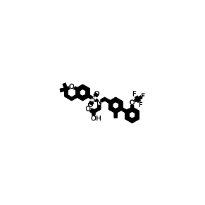 Cc1cc(CN(CC(=O)O)S(=O)(=O)c2ccc3c(c2)CCC(C)(C)O3)ccc1-c1ccccc1OC(F)(F)F